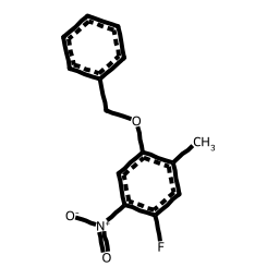 Cc1cc(F)c([N+](=O)[O-])cc1OCc1ccccc1